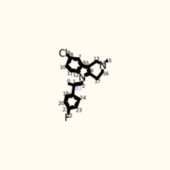 C/C(=C\n1c2c(c3cc(Cl)ccc31)CN(C)CC2)c1ccc(F)cc1